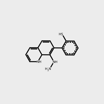 NNC1=C(c2ccccc2S)C=CC2=CC=CNC21